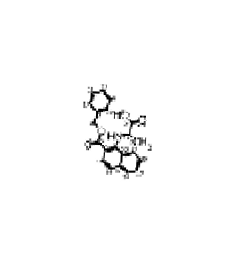 CC(Nc1c(C(=O)OCc2ccccc2)ccc2ccccc12)C(=O)O